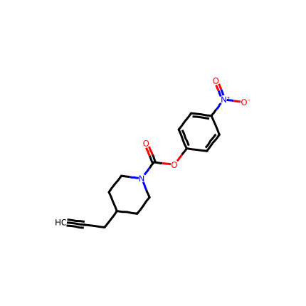 C#CCC1CCN(C(=O)Oc2ccc([N+](=O)[O-])cc2)CC1